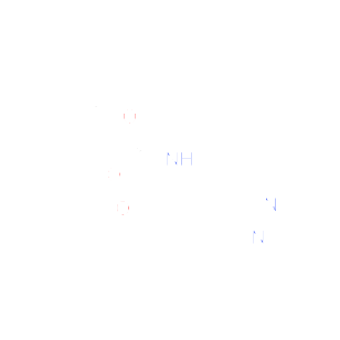 COc1ccc2c(cnn2C)c1NC(=O)OC(C)(C)C